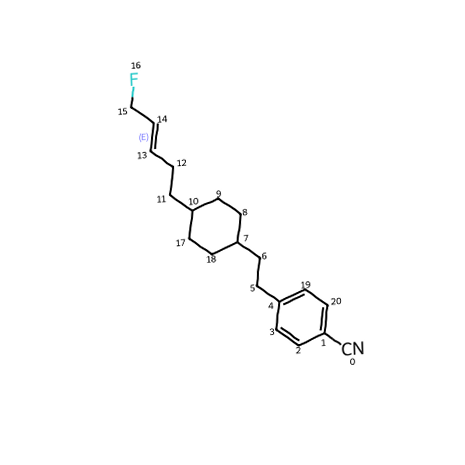 N#Cc1ccc(CCC2CCC(CC/C=C/CF)CC2)cc1